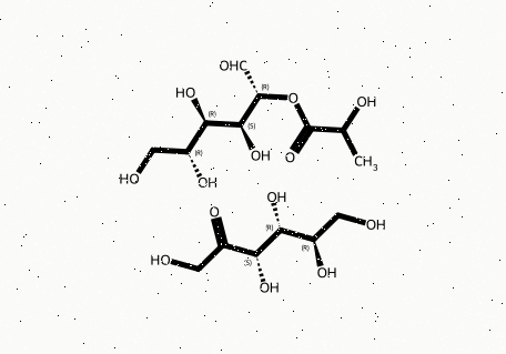 CC(O)C(=O)O[C@@H](C=O)[C@@H](O)[C@H](O)[C@H](O)CO.O=C(CO)[C@@H](O)[C@H](O)[C@H](O)CO